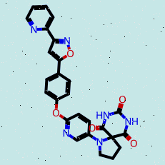 O=C1NC(=O)C2(CCCN2c2ccc(Oc3ccc(-c4cc(-c5ccccn5)no4)cc3)nc2)C(=O)N1